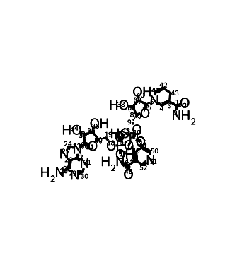 NC(=O)C1=CN([C@@H]2O[C@H](COP(=O)(O)OP(=O)(O)OC[C@H]3O[C@@H](n4cnc5c(N)ncnc54)[C@H](O)[C@@H]3O)[C@@H](O)[C@H]2O)C=CC1.NC(=O)c1cccnc1